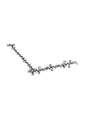 CCC(=O)NCCNC(=O)COCCOCCNC(=O)COCCOCCNC(=O)CCC(NC(=O)CCCCCCCCCCCCCCCCCCCCC(=O)O)C(=O)O